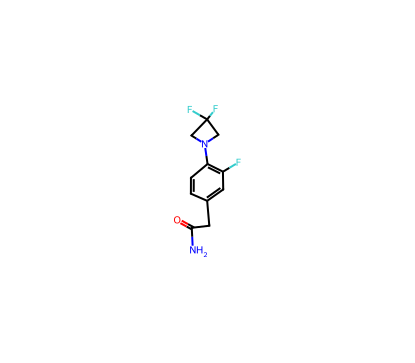 NC(=O)Cc1ccc(N2CC(F)(F)C2)c(F)c1